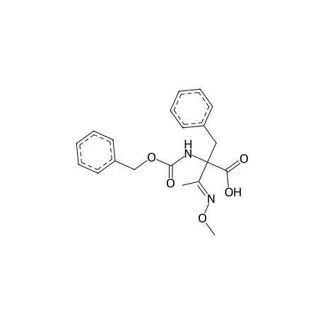 CON=C(C)C(Cc1ccccc1)(NC(=O)OCc1ccccc1)C(=O)O